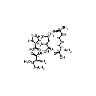 CC(C)C[C@H](N)C(=O)O.CC[C@H](C)[C@H](N)C(=O)O.N=C(N)NCCC[C@H](N)C(=O)O.O=C(O)[C@@H]1CCCN1